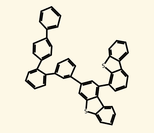 c1ccc(-c2ccc(-c3ccccc3-c3cccc(-c4cc(-c5cccc6c5sc5ccccc56)c5c(c4)sc4ccccc45)c3)cc2)cc1